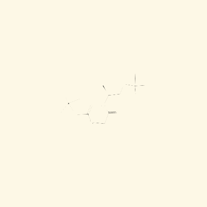 C[C@H](NC(=O)OC(C)(C)C)C(=O)O[C@@H](C)COC(C)(C)C